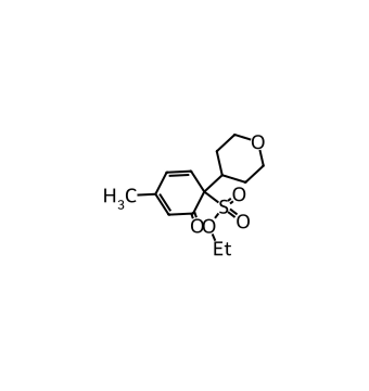 CCOS(=O)(=O)C1(C2CCOCC2)C=CC(C)=CC1=O